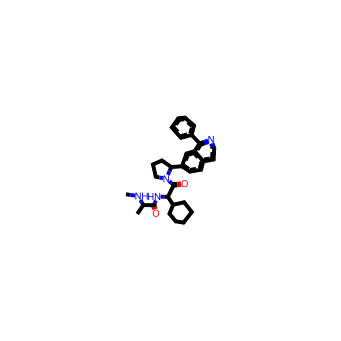 CNC(C)C(=O)NC(C(=O)N1CCCC1c1ccc2ccnc(-c3ccccc3)c2c1)C1CCCCC1